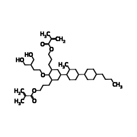 C=C(C)C(=O)OCCCC1CC(C2CCC(C3CCC(CCCC)CC3)CC2C)CC(CCCOC(=O)C(=C)C)C1OCCC(CO)CO